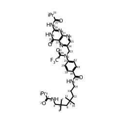 CC(C)C(=O)NCC(C)(C)CC(C)(C)CCCNC(=O)c1ccc(N(Cc2cnc3nc(NC(=O)C(C)C)[nH]c(=O)c3n2)C(=O)C(F)(F)F)cc1